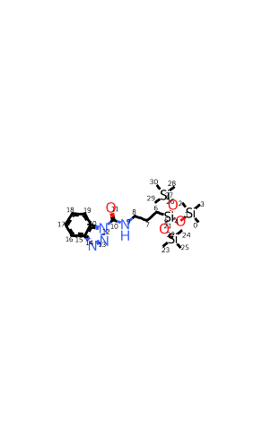 C[Si](C)(C)O[Si](CCCNC(=O)n1nnc2ccccc21)(O[Si](C)(C)C)O[Si](C)(C)C